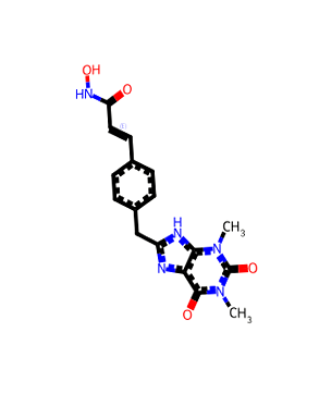 Cn1c(=O)c2nc(Cc3ccc(/C=C/C(=O)NO)cc3)[nH]c2n(C)c1=O